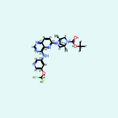 CC(C)(C)OC(=O)N1C[C@@H]2C[C@H]1CN2c1ccc2ncnc(Nc3cncc(OC(F)F)c3)c2n1